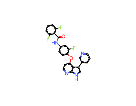 O=C(Nc1ccc(Oc2ccnc3[nH]cc(-c4cccnc4)c23)c(F)c1)c1c(F)cccc1F